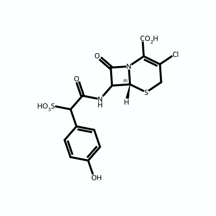 O=C(O)C1=C(Cl)CS[C@@H]2C(NC(=O)C(c3ccc(O)cc3)S(=O)(=O)O)C(=O)N12